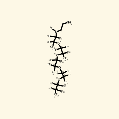 NCCN(F)C(F)(F)C(F)(OC(F)(F)C(F)(OC(F)(F)C(F)(OC(F)(F)C(F)(OC(F)(F)C(F)(F)C(F)(F)F)C(F)(F)F)C(F)(F)F)C(F)(F)F)C(F)(F)F